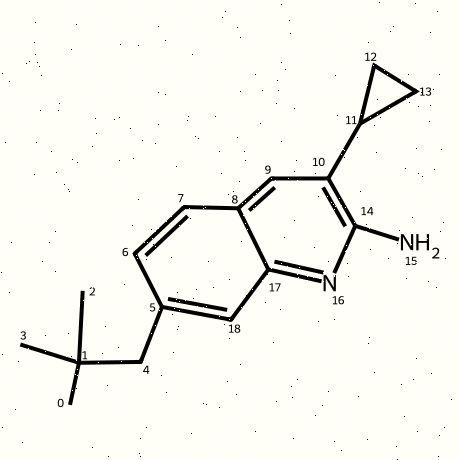 CC(C)(C)Cc1ccc2cc(C3CC3)c(N)nc2c1